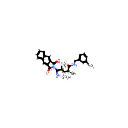 CCC[C@H](C(=O)NCc1cccc([N+](=O)[O-])c1)[C@H](C(=O)O)C(C)C(N)N1C(=O)c2cc3ccccc3cc2C1=O